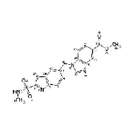 CNS(=O)(=O)c1nc2ccc(Cn3cnc4cc(C(=O)OC)ccc43)cc2s1